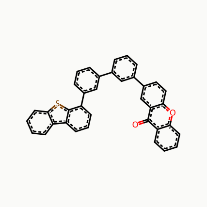 O=c1c2ccccc2oc2ccc(-c3cccc(-c4cccc(-c5cccc6c5sc5ccccc56)c4)c3)cc12